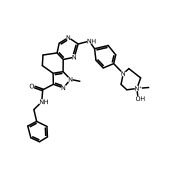 Cn1nc(C(=O)NCc2ccccc2)c2c1-c1nc(Nc3ccc(N4CC[N+](C)(O)CC4)cc3)ncc1CC2